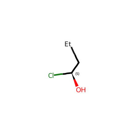 CCC[C@@H](O)Cl